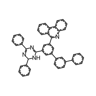 c1ccc(C2=NC(c3ccccc3)NC(c3cc(-c4cccc(-c5ccccc5)c4)cc(-c4nc5ccccc5c5ccccc45)c3)=N2)cc1